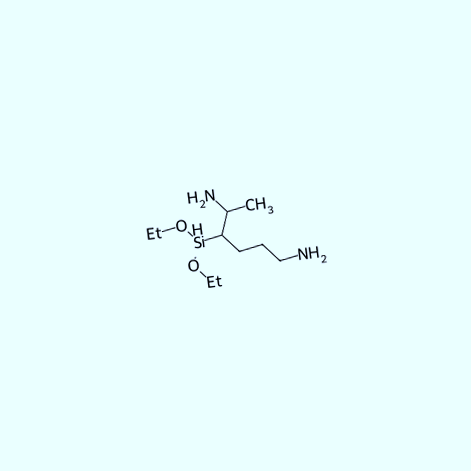 CCO[SiH](OCC)C(CCCN)C(C)N